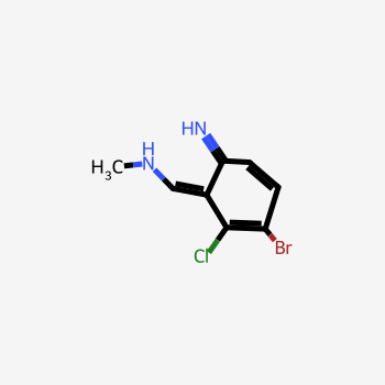 CN/C=C1\C(=N)C=CC(Br)=C1Cl